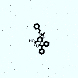 Cc1nc2c(n1CCC1CCCCC1)CC(C(=O)O)N(C(=O)C(c1ccccc1)c1ccccc1)C2